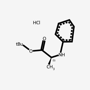 C[C@H](Nc1ccccc1)C(=O)OC(C)(C)C.Cl